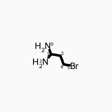 NC(N)CCBr